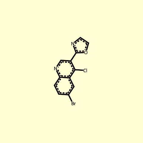 Clc1c(-c2ncco2)cnc2ccc(Br)cc12